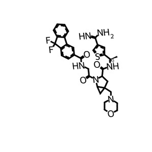 C[C@@H](NC(=O)C1CC2(CN3CCOCC3)CC2N1C(=O)CNC(=O)c1ccc2c(c1)-c1ccccc1C2(F)F)c1cc(C(=N)N)cs1